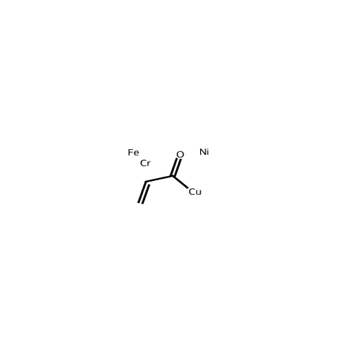 C=C[C](=O)[Cu].[Cr].[Fe].[Ni]